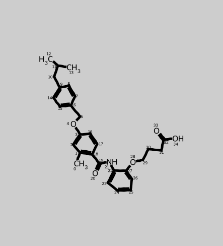 Cc1cc(OCc2ccc(CC(C)C)cc2)ccc1C(=O)Nc1ccccc1OCCCC(=O)O